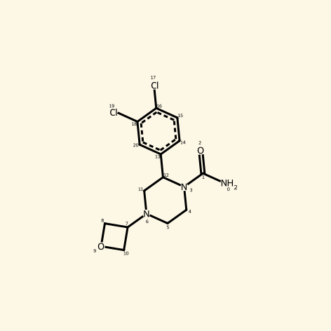 NC(=O)N1CCN(C2COC2)CC1c1ccc(Cl)c(Cl)c1